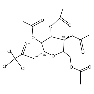 CC(=O)OCC1O[C@H](CC(=N)C(Cl)(Cl)Cl)C(OC(C)=O)C(OC(C)=O)[C@H]1OC(C)=O